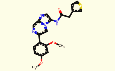 COc1ccc(-c2cn3c(NC(=O)Cc4ccsc4)cnc3cn2)c(OC)c1